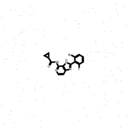 O=C(Nc1nccc2nc(-c3c(F)cccc3Br)[nH]c12)C1CC1